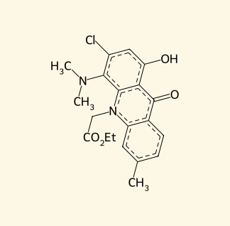 CCOC(=O)Cn1c2cc(C)ccc2c(=O)c2c(O)cc(Cl)c(N(C)C)c21